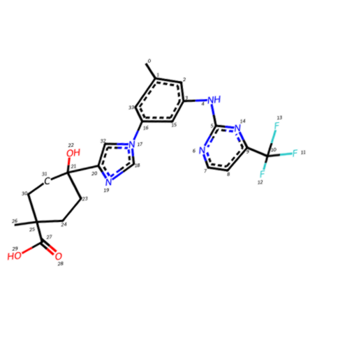 Cc1cc(Nc2nccc(C(F)(F)F)n2)cc(-n2cnc(C3(O)CCC(C)(C(=O)O)CC3)c2)c1